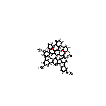 CC(C)(C)c1ccc2c(c1)c1cc(C(C)(C)C)cc3c4c(-c5c6ccccc6c(-c6c(-c7ccccc7)cccc6-c6ccccc6)c6ccccc56)c5c(cc4n2c13)c1cc(C(C)(C)C)cc2c3cc(C(C)(C)C)ccc3n5c21